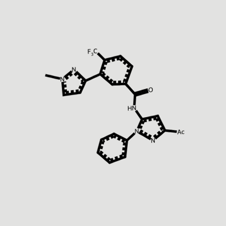 CC(=O)c1cc(NC(=O)c2ccc(C(F)(F)F)c(-c3ccn(C)n3)c2)n(-c2ccccc2)n1